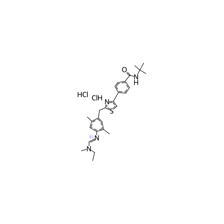 CCN(C)/C=N/c1cc(C)c(Cc2nc(-c3ccc(C(=O)NC(C)(C)C)cc3)cs2)cc1C.Cl.Cl